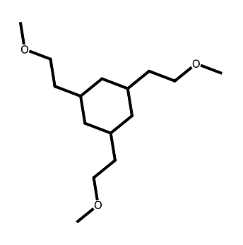 COCCC1CC(CCOC)CC(CCOC)C1